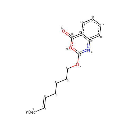 CCCCCCCCCCC=CCCCCOc1nc2ccccc2c(=O)o1